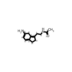 CC(=O)NCCC1=C2CC(N)=CC=C2CC1